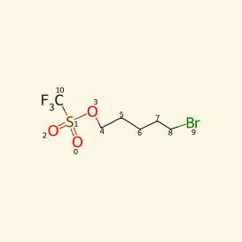 O=S(=O)(OCCCCCBr)C(F)(F)F